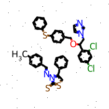 Cc1ccc(/C=N/n2c(-c3ccccc3)csc2=S)cc1.Clc1ccc(C(Cn2ccnc2)OCc2ccc(Sc3ccccc3)cc2)c(Cl)c1